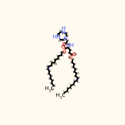 CCCCCCCC/C=C\CCCCCCCCOC(=O)CCC(NC(=O)CN1CCNCCNCC1)C(=O)OCCCCCCCC/C=C\CCCCCCCC